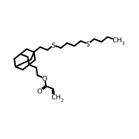 C=CC(=O)OCCC12CC3CC(C1)CC(CCSCCCCSCCCC)(C3)C2